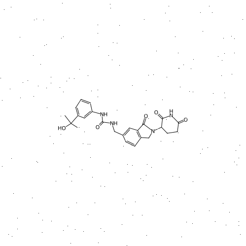 CC(C)(O)c1cccc(NC(=O)NCc2ccc3c(c2)C(=O)N(C2CCC(=O)NC2=O)C3)c1